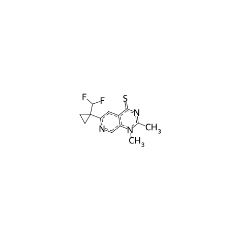 Cc1nc(=S)c2cc(C3(C(F)F)CC3)ncc2n1C